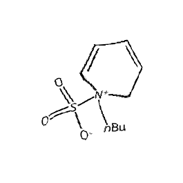 CCCC[N+]1(S(=O)(=O)[O-])C=CC=CC1